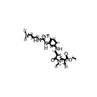 CCOC(=O)C(C#N)=c1sc(=CNc2ccc(F)c(NC(=O)NCCCN(C)C)c2)c(=O)n1CC